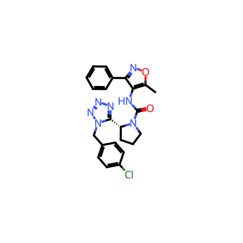 Cc1onc(-c2ccccc2)c1NC(=O)N1CCC[C@@H]1c1nnnn1Cc1ccc(Cl)cc1